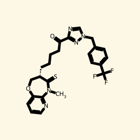 CN1C(=S)[C@@H](CCCCC(=O)c2ncn(Cc3ccc(C(F)(F)F)cc3)n2)COc2cccnc21